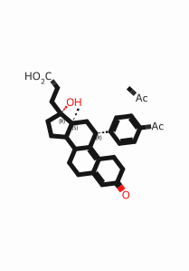 CC(=O)c1ccc([C@H]2C[C@@]3(C)C(CC[C@@]3(O)CCC(=O)O)C3CCC4=CC(=O)CCC4=C32)cc1.CC(C)=O